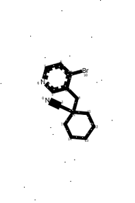 N#CC1(Cc2cnccc2Br)CCCCC1